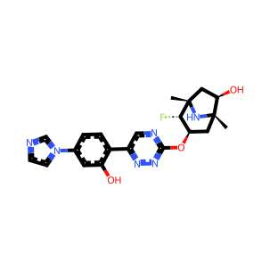 C[C@]12C[C@@H](Oc3ncc(-c4ccc(-n5ccnc5)cc4O)nn3)[C@H](F)[C@](C)(C[C@H]1O)N2